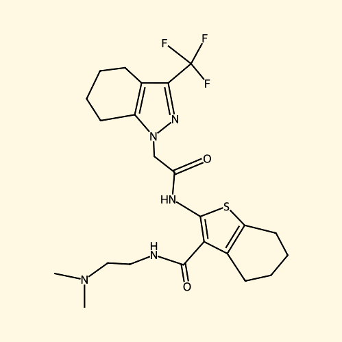 CN(C)CCNC(=O)c1c(NC(=O)Cn2nc(C(F)(F)F)c3c2CCCC3)sc2c1CCCC2